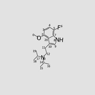 COc1ccc(F)c2[nH]cc(CCN(C(C)C)C(C)C)c12